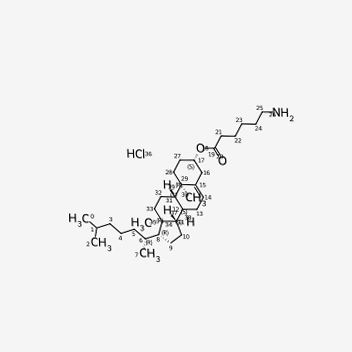 CC(C)CCC[C@@H](C)[C@H]1CC[C@H]2[C@@H]3CC=C4C[C@@H](OC(=O)CCCCCN)CC[C@]4(C)[C@H]3CC[C@]12C.Cl